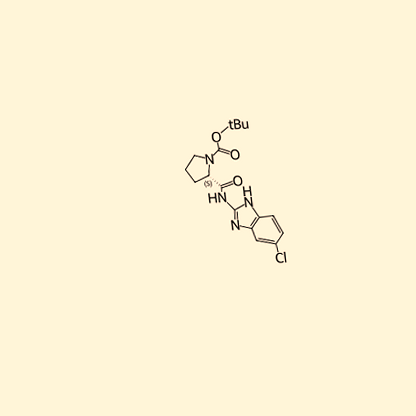 CC(C)(C)OC(=O)N1CCC[C@H]1C(=O)Nc1nc2cc(Cl)ccc2[nH]1